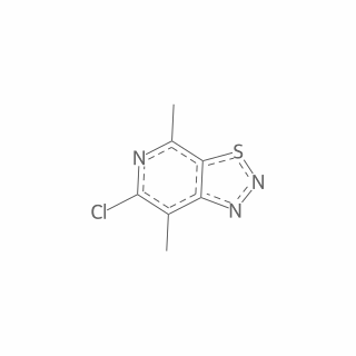 Cc1c(Cl)nc(C)c2snnc12